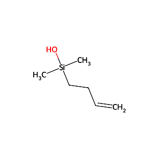 C=CCC[Si](C)(C)O